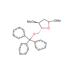 COC1C[C@H](OC)[C@@H](COC(c2ccccc2)(c2ccccc2)c2ccccc2)O1